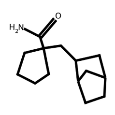 NC(=O)C1(CC2CC3CCC2C3)CCCC1